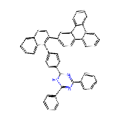 c1ccc(C2=NC(c3ccc(-c4c(-c5ccc6c7ccccc7c7ccccc7c6c5)ccc5ccccc45)cc3)NC(c3ccccc3)=N2)cc1